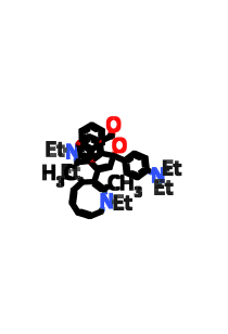 CCC1/C=C\C=C/CN(CC)/C(C)=C1/C(=C/C1(c2ccc(N(CC)CC)cc2)OC(=O)c2ccccc21)c1c(C)n(CC)c2ccccc12